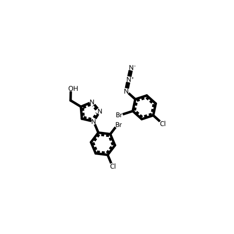 OCc1cn(-c2ccc(Cl)cc2Br)nn1.[N-]=[N+]=Nc1ccc(Cl)cc1Br